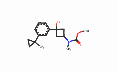 CN(C(=O)OC(C)(C)C)C1CC(O)(c2cccc(C3(C(F)(F)F)CC3)c2)C1